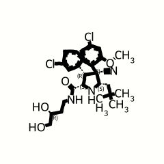 COc1cc(Cl)ccc1[C@@]1(C#N)[C@H](CC(C)(C)C)N[C@H](C(=O)NCC[C@@H](O)CO)[C@@H]1c1cccc(Cl)c1